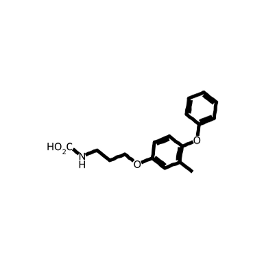 Cc1cc(OCCCNC(=O)O)ccc1Oc1ccccc1